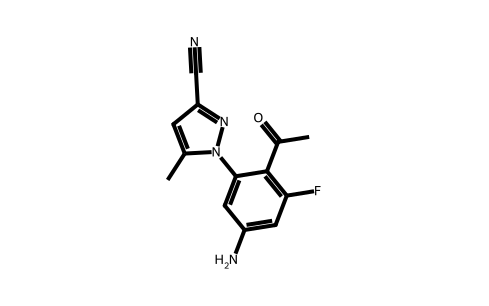 CC(=O)c1c(F)cc(N)cc1-n1nc(C#N)cc1C